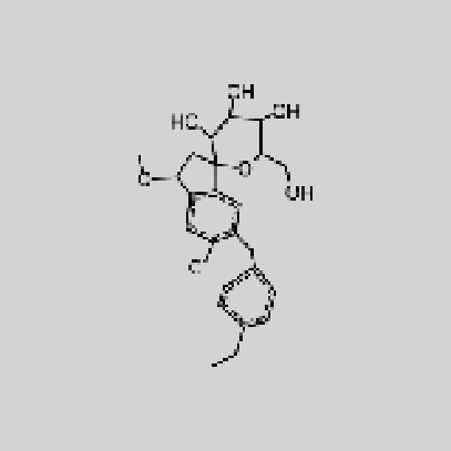 CCc1ccc(Cc2cc3c(cc2Cl)C(OC)CC32OC(CO)C(O)C(O)C2O)cc1